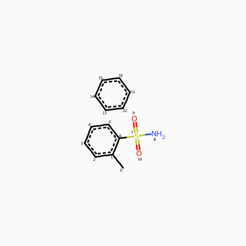 Cc1ccccc1S(N)(=O)=O.c1ccccc1